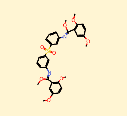 CO/C(=N\c1cccc(S(=O)(=O)c2cccc(/N=C(\OC)c3cc(OC)ccc3OC)c2)c1)c1cc(OC)ccc1OC